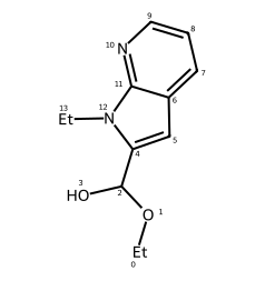 CCOC(O)c1cc2cccnc2n1CC